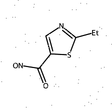 CCc1ncc(C(=O)N=O)s1